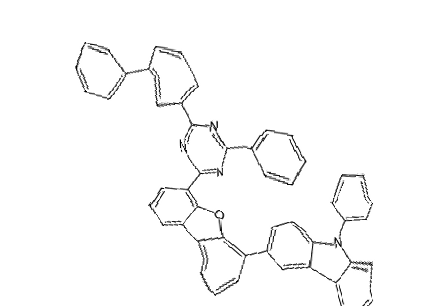 c1ccc(-c2cccc(-c3nc(-c4ccccc4)nc(-c4cccc5c4oc4c(-c6ccc7c(c6)c6ccccc6n7-c6ccccc6)cccc45)n3)c2)cc1